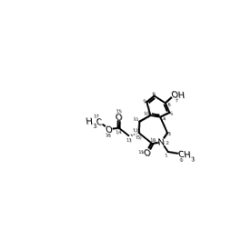 CCN1Cc2cc(O)ccc2C[C@@H](CC(=O)OC)C1=O